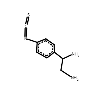 NCC(N)c1ccc(N=C=S)cc1